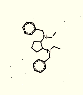 CCN(Cc1ccccc1)C1CCCC1N(CC)Cc1ccccc1